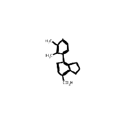 Cc1cccc(-c2ccc(C(=O)O)c3c2CCC3)c1C